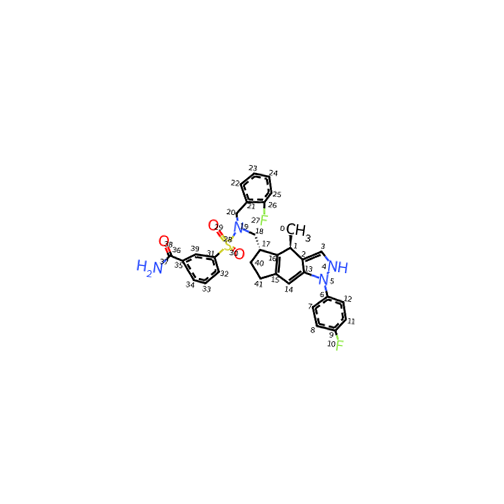 C[C@H]1C2=CNN(c3ccc(F)cc3)C2=CC2=C1[C@@H](CN(Cc1ccccc1F)S(=O)(=O)c1cccc(C(N)=O)c1)CC2